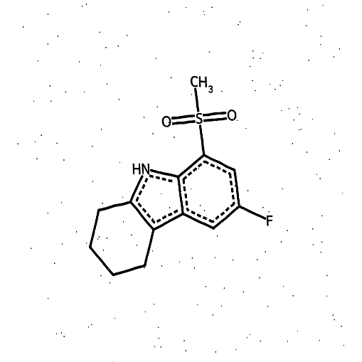 CS(=O)(=O)c1cc(F)cc2c3c([nH]c12)CCCC3